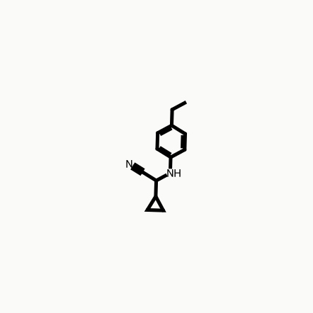 CCc1ccc(NC(C#N)C2CC2)cc1